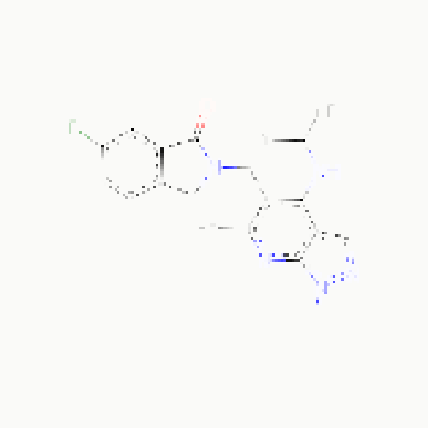 CCCC(CCC)Nc1c(CN2Cc3ccc(F)cc3C2=O)c(CC)nc2c1cnn2CC